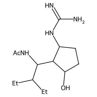 CCC(CC)C(NC(C)=O)C1C(O)CCC1NC(=N)N